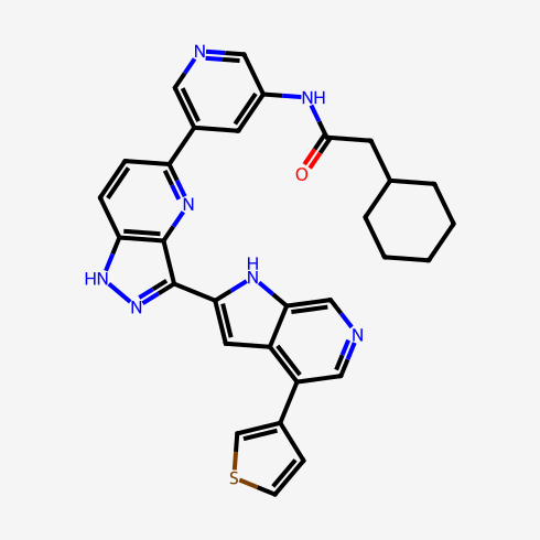 O=C(CC1CCCCC1)Nc1cncc(-c2ccc3[nH]nc(-c4cc5c(-c6ccsc6)cncc5[nH]4)c3n2)c1